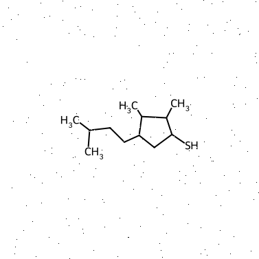 CC(C)CCC1CC(S)C(C)C1C